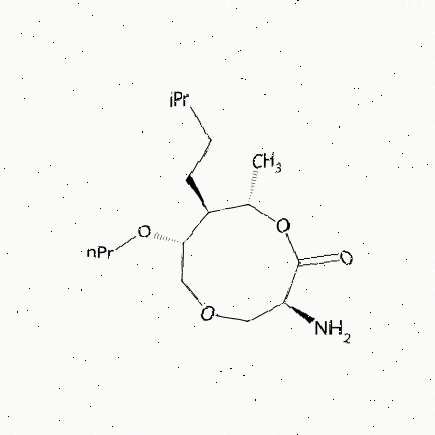 CCCO[C@H]1COC[C@H](N)C(=O)O[C@@H](C)[C@@H]1CCC(C)C